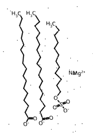 CCCCCCCCCCCCCCCCCC(=O)[O-].CCCCCCCCCCCCCCCCCC(=O)[O-].CCCCCCCCCCCCOS(=O)(=O)[O-].[Mg+2].[Na+]